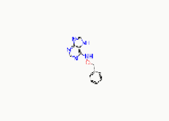 c1ccc(CONc2ncnc3nc[nH]c23)cc1